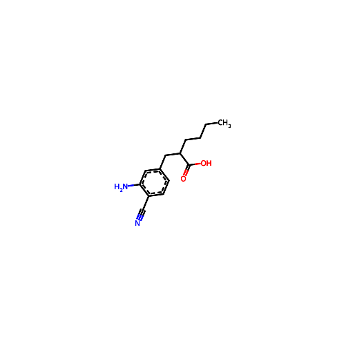 CCCCC(Cc1ccc(C#N)c(N)c1)C(=O)O